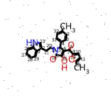 Cc1ccc(C2C(C(=O)c3ccc(C)o3)=C(O)C(=O)N2CCc2c[nH]c3ccccc23)cc1